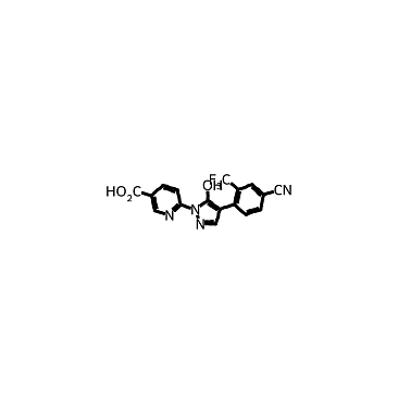 N#Cc1ccc(-c2cnn(-c3ccc(C(=O)O)cn3)c2O)c(C(F)(F)F)c1